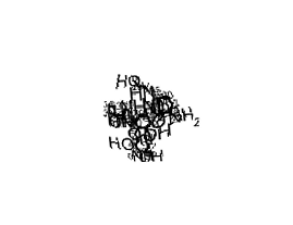 CN[C@@H]1C(O)[C@@H](OC2C(O)C(OC3O[C@H](CNCCO)CCC3N)[C@@H](N)C[C@H]2NC(=N)C2(O)CCC2)OCC1(C)O